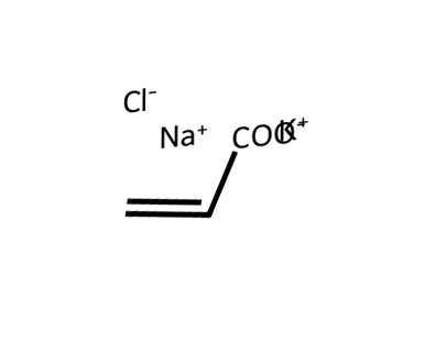 C=CC(=O)[O-].[Cl-].[K+].[Na+]